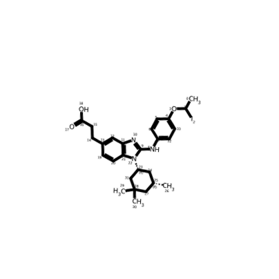 CC(I)Oc1ccc(Nc2nc3cc(CCC(=O)O)ccc3n2[C@@H]2C[C@H](C)CC(C)(C)C2)cc1